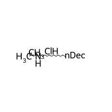 CCCCCCCCCCCCCCCCCCCCCCNCC=C(C)C.Cl